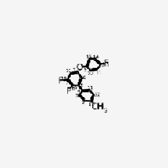 Cc1ccc(-c2cc(Oc3ccc(F)cc3)cc(F)c2F)cc1